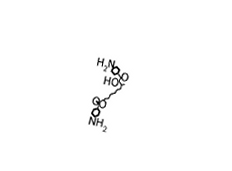 CC(CCCCCCOC(=O)c1ccc(N)cc1)C(O)C(=O)c1ccc(N)cc1